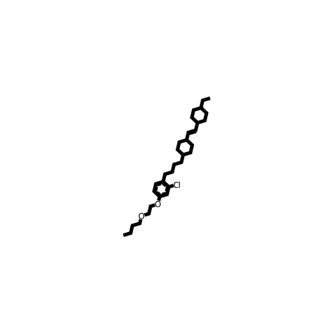 CCCCOCCOc1ccc(CCCCC2CCC(C=CC3CCC(CC)CC3)CC2)c(Cl)c1